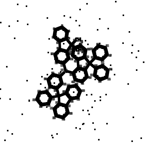 CC1(C)c2ccccc2-c2ccc(N(c3cccc(C4(c5ccccc5)c5ccccc5-c5ccccc54)c3)c3cccc4c3-c3ccccc3C4(c3ccccc3)c3ccccc3)cc21